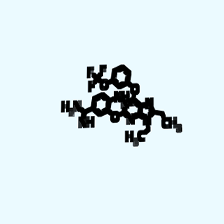 CCc1nc2c(Oc3cccc(OC(F)(F)F)c3)nc(Oc3cc(C(=N)N)ccc3N)nc2n1CC